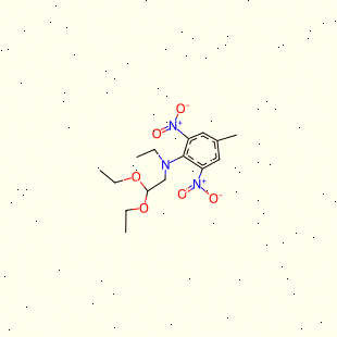 CCOC(CN(CC)c1c([N+](=O)[O-])cc(C)cc1[N+](=O)[O-])OCC